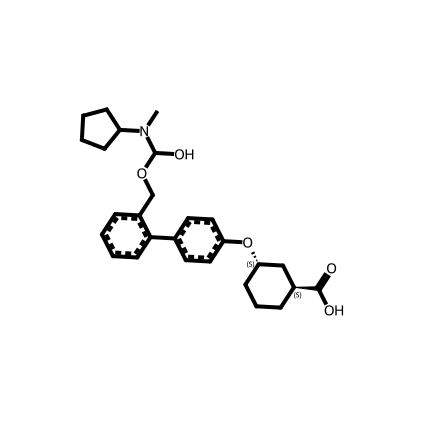 CN(C1CCCC1)C(O)OCc1ccccc1-c1ccc(O[C@H]2CCC[C@H](C(=O)O)C2)cc1